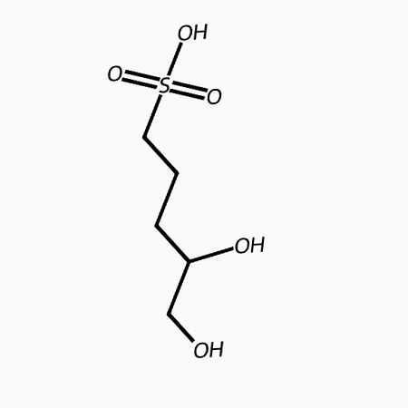 O=S(=O)(O)CCCC(O)CO